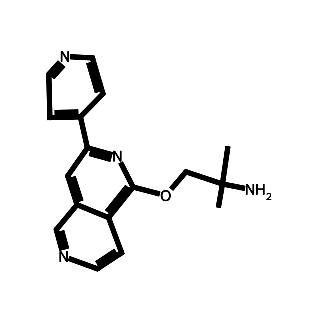 CC(C)(N)COc1nc(-c2ccncc2)cc2cnccc12